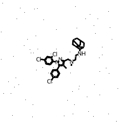 Cc1c(CN(C)CCNC2C3CC4CC(C3)CC2C4)nn(-c2ccc(Cl)cc2Cl)c1-c1ccc(Cl)cc1